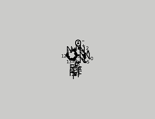 CN(C)[N+]1(N(C)C)N=[N+]([O-])c2ncccc21.F[P-](F)(F)(F)(F)F